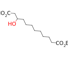 CCOC(=O)CCCCCCCCC(O)CC(=O)O